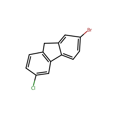 Clc1ccc2c(c1)-c1ccc(Br)cc1C2